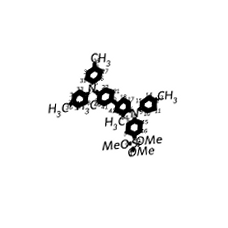 CO[Si](OC)(OC)c1ccc(N(c2ccc(C)cc2)c2ccc(-c3ccc(N(c4ccc(C)cc4)c4ccc(C)cc4)c(C)c3)cc2C)cc1